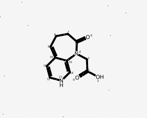 O=C(O)CN1C(=O)CCC=C2C=CNC=C21